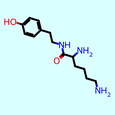 NCCCCC(N)C(=O)NCCc1ccc(O)cc1